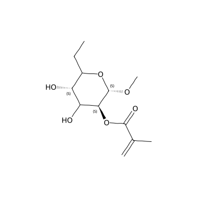 C=C(C)C(=O)O[C@H]1C(O)[C@H](O)C(CC)O[C@@H]1OC